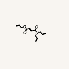 C=CCOC(=O)C=CC(=O)N(CC=C)CC=C